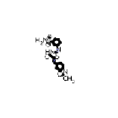 Cc1nc2ccc(/C=C3\S/C(=N/c4cccc(S(N)(=O)=O)c4)NC3=O)cc2o1